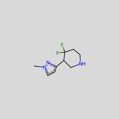 Cn1ccc(C2CNCCC2(F)F)n1